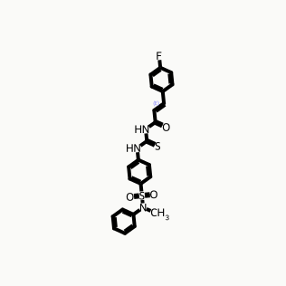 CN(c1ccccc1)S(=O)(=O)c1ccc(NC(=S)NC(=O)/C=C/c2ccc(F)cc2)cc1